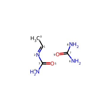 CC=NC(N)=O.NC(N)=O